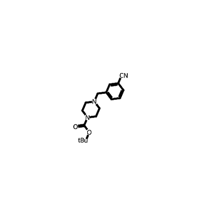 CC(C)(C)OC(=O)N1CCN(Cc2cccc(C#N)c2)CC1